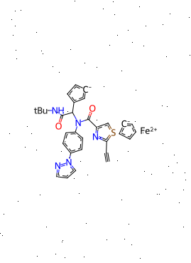 C#Cc1nc(C(=O)N(c2ccc(-n3cccn3)cc2)C(C(=O)NC(C)(C)C)c2cc[cH-]c2)cs1.[Fe+2].c1cc[cH-]c1